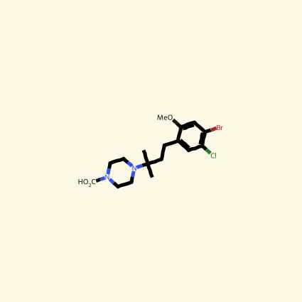 COc1cc(Br)c(Cl)cc1CCC(C)(C)N1CCN(C(=O)O)CC1